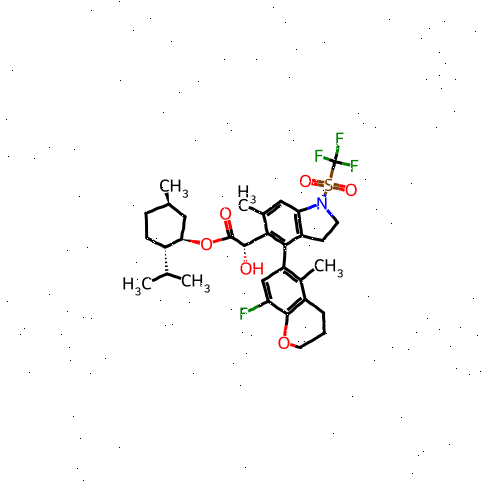 Cc1cc2c(c(-c3cc(F)c4c(c3C)CCCO4)c1[C@H](O)C(=O)O[C@@H]1C[C@H](C)CC[C@H]1C(C)C)CCN2S(=O)(=O)C(F)(F)F